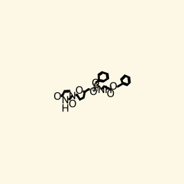 O=C(CN[P@](OCC1CCC(n2ccc(=O)[nH]c2=O)O1)Oc1ccccc1)OCc1ccccc1